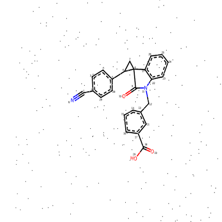 N#Cc1ccc(C2CC23C(=O)N(Cc2cccc(C(=O)O)c2)c2ccccc23)cc1